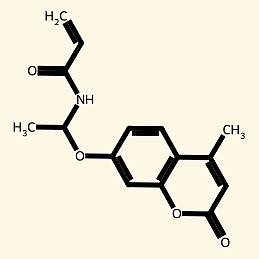 C=CC(=O)NC(C)Oc1ccc2c(C)cc(=O)oc2c1